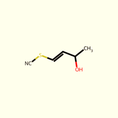 CC(O)C=CSC#N